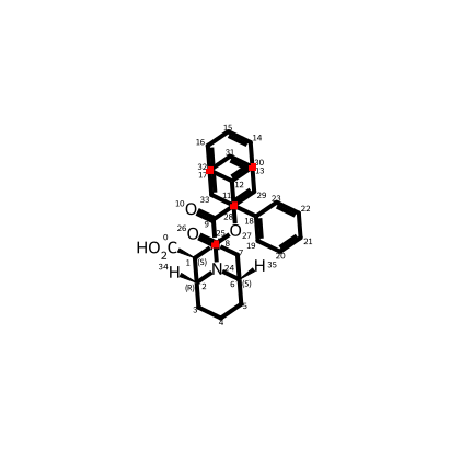 O=C(O)[C@@H]1[C@H]2CCC[C@@H](CN1C(=O)C(c1ccccc1)c1ccccc1)N2C(=O)Oc1ccccc1